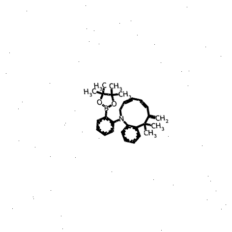 C=C1/C=C\C=C/CN(c2ccccc2B2OC(C)(C)C(C)(C)O2)c2ccccc2C1(C)C